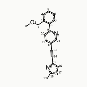 COCc1ccccc1-c1ccc(C#Cc2csc(C)n2)cn1